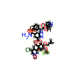 CS(=O)(=O)C(N)c1cc(NC(C(=O)O[C@H]2CN3CCC2CC3)c2ccccc2)cc(C(=O)O[C@@H](Cc2c(Cl)c[n+]([O-])cc2Cl)c2ccc(OC(F)F)c(OCC3CC3)c2)c1